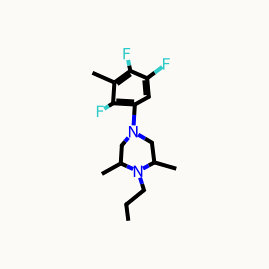 CCCN1C(C)CN(c2cc(F)c(F)c(C)c2F)CC1C